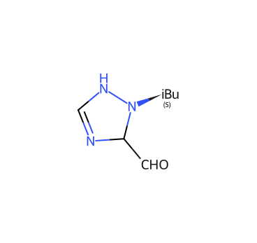 CC[C@H](C)N1NC=NC1C=O